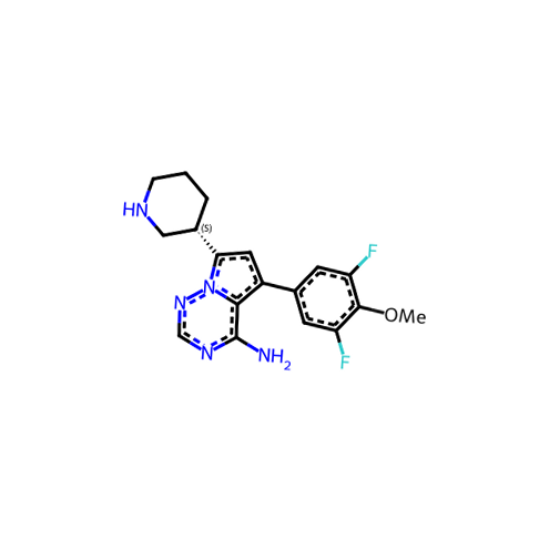 COc1c(F)cc(-c2cc([C@H]3CCCNC3)n3ncnc(N)c23)cc1F